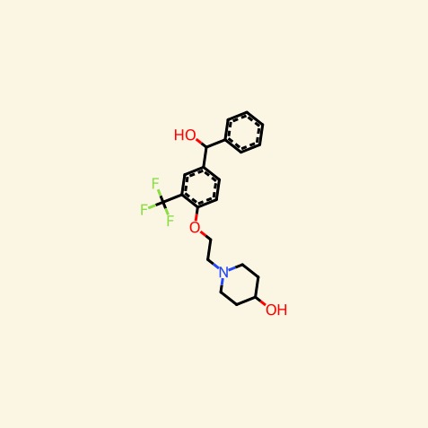 OC1CCN(CCOc2ccc(C(O)c3ccccc3)cc2C(F)(F)F)CC1